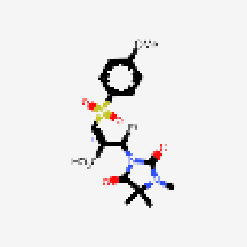 CCC(/C(=C\S(=O)(=O)c1ccc(OC)cc1)C(=O)O)N1C(=O)N(C)C(C)(C)C1=O